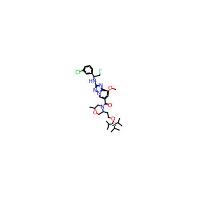 COc1cc(C(=O)N2CC(C)OCC2CCO[Si](C(C)C)(C(C)C)C(C)C)cn2nc(NC(CF)c3cccc(Cl)c3)nc12